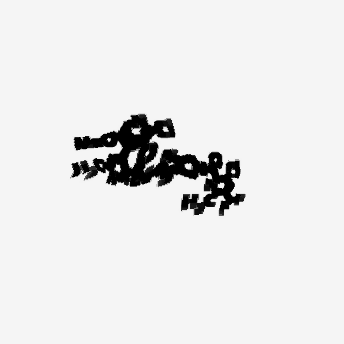 COc1cnc(Cl)cc1-c1cc(C)ncc1C(=O)Nc1nc2c(s1)CN(C(=O)c1nc(C)c(C(F)F)cc1Cl)C2